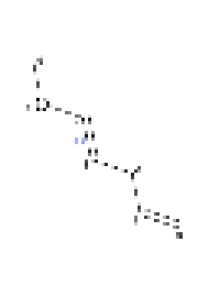 C=CC/C=C/OC